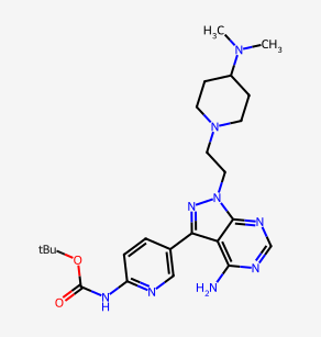 CN(C)C1CCN(CCn2nc(-c3ccc(NC(=O)OC(C)(C)C)nc3)c3c(N)ncnc32)CC1